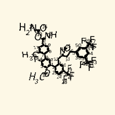 COc1cc(F)c(-c2ccc(C(=N)OC(N)=O)cc2C)cc1-c1ccc(C(F)(F)F)cc1CC1=NOC(c2cc(C(F)(F)F)cc(C(F)(F)F)c2)C1